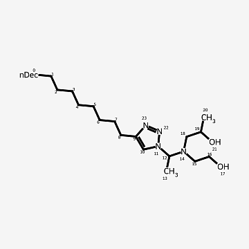 CCCCCCCCCCCCCCCCCCc1cn(C(C)N(CCO)CC(C)O)nn1